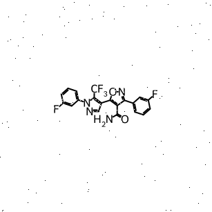 NC(=O)c1c(-c2cccc(F)c2)noc1-c1cnn(-c2cccc(F)c2)c1C(F)(F)F